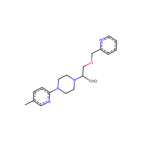 Cc1ccc(N2CCN(C(C=O)COCc3ccccn3)CC2)nc1